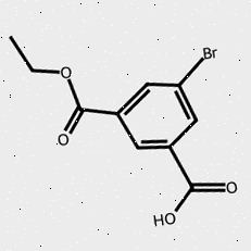 CCOC(=O)c1cc(Br)cc(C(=O)O)c1